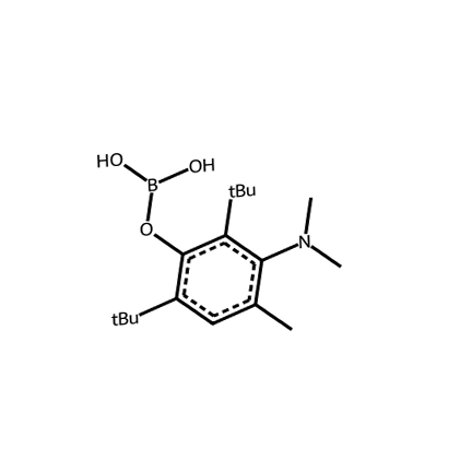 Cc1cc(C(C)(C)C)c(OB(O)O)c(C(C)(C)C)c1N(C)C